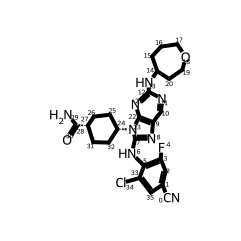 N#Cc1cc(F)c(Nc2nc3cnc(NC4CCCOCC4)nc3n2[C@H]2CC[C@@H](C(N)=O)CC2)c(Cl)c1